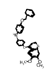 COc1cc2nccc(Oc3ccc(Nc4ccc(OCc5ccccc5)cc4)cc3)c2cc1OC